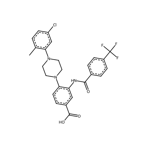 Cc1ccc(Cl)cc1N1CCN(c2ccc(C(=O)O)cc2NC(=O)c2ccc(C(F)(F)F)cc2)CC1